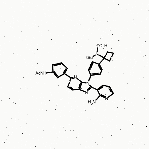 CC(=O)Nc1cccc(-c2ccc3nc(-c4cccnc4N)n(-c4ccc(C5(N(C(=O)O)C(C)(C)C)CCC5)cc4)c3n2)c1